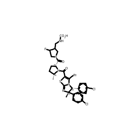 CC(C)C1=C(C(=O)N2[C@H](C)CC[C@@H]2C(=O)N2CC(F)C(CNC(=O)O)C2)SC2=N[C@@](C)(c3ccc(Cl)cc3)[C@@H](c3ccc(Cl)cc3)N21